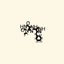 C=Cn1c(=O)[nH]c(=O)c2[nH]c(-c3c[nH]nc3Cc3ccccc3)nc21